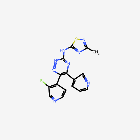 Cc1nsc(Nc2nnc(-c3ccncc3F)c(-c3cccnc3)n2)n1